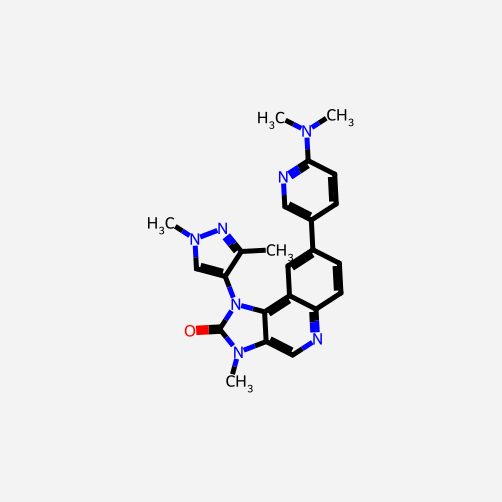 Cc1nn(C)cc1-n1c(=O)n(C)c2cnc3ccc(-c4ccc(N(C)C)nc4)cc3c21